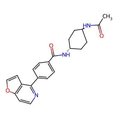 CC(=O)N[C@H]1CC[C@H](NC(=O)c2ccc(-c3nccc4occc34)cc2)CC1